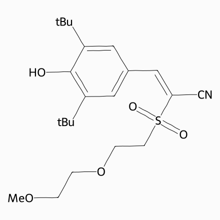 COCCOCCS(=O)(=O)C(C#N)=Cc1cc(C(C)(C)C)c(O)c(C(C)(C)C)c1